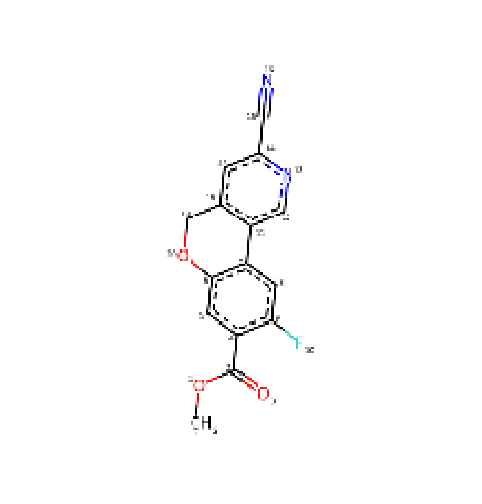 COC(=O)c1cc2c(cc1F)-c1cnc(C#N)cc1CO2